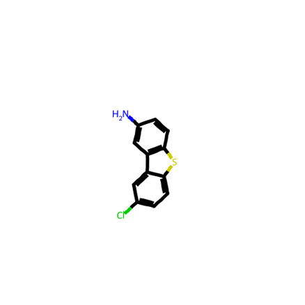 Nc1ccc2sc3ccc(Cl)cc3c2c1